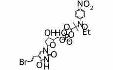 CCON(c1ccc([N+](=O)[O-])cc1)C(C)(C)C(=O)OP(=O)(O)OC[C@H]1O[C@@H](n2cc(/C=C/Br)c(=O)[nH]c2=O)C[C@@H]1O